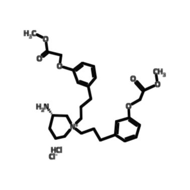 COC(=O)COc1cccc(CCC[N+]2(CCCc3cccc(OCC(=O)OC)c3)CCC[C@H](N)C2)c1.Cl.[Cl-]